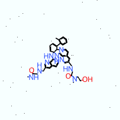 CNC(=O)CNCc1cnc2c(NC3(Nc4nccc5cc(CNCC(=O)N(C)CCO)cnc45)C=CC=C(c4ccccc4C)C3C)nccc2c1